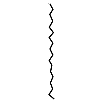 [CH2]CC[CH]CCCCCCCCCCCCCC